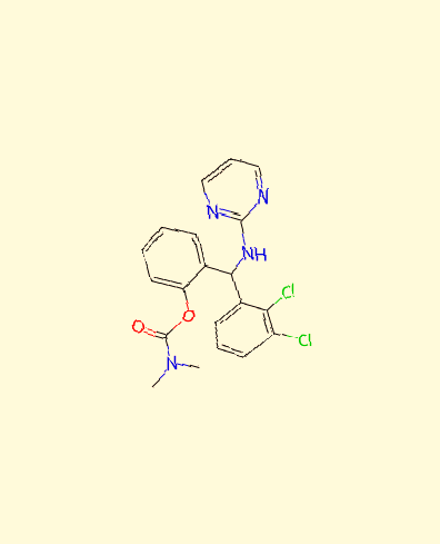 CN(C)C(=O)Oc1ccccc1C(Nc1ncccn1)c1cccc(Cl)c1Cl